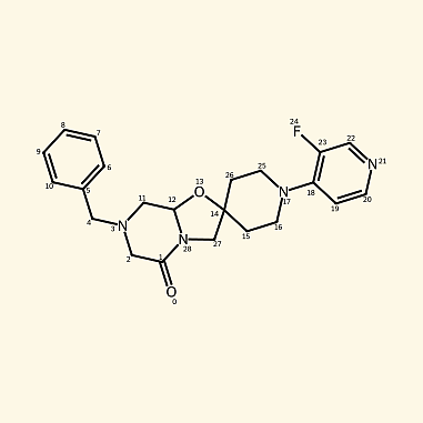 O=C1CN(Cc2ccccc2)CC2OC3(CCN(c4ccncc4F)CC3)CN12